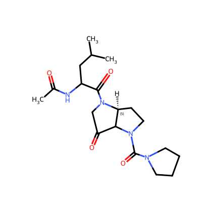 CC(=O)NC(CC(C)C)C(=O)N1CC(=O)C2[C@@H]1CCN2C(=O)N1CCCC1